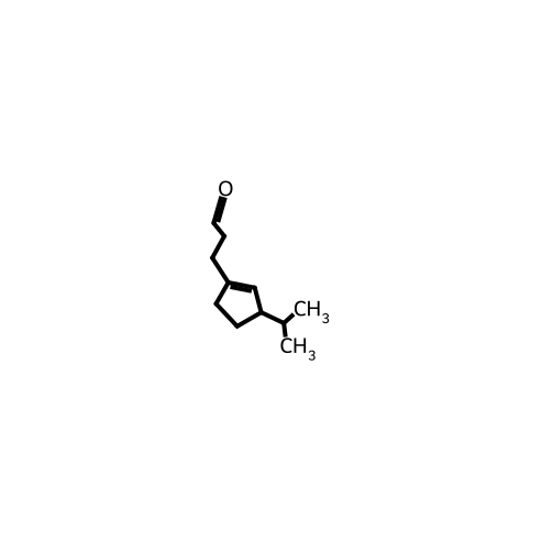 CC(C)C1C=C(CCC=O)CC1